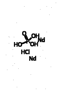 Cl.O=P(O)(O)O.[Nd].[Nd]